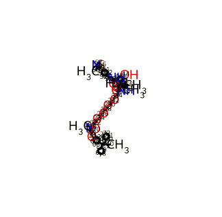 CC/C(=C(\c1ccccc1)c1ccc(OCCN(C)C(=O)CCOCCOCCOCCOCCC(=O)N[C@H](C(=O)N2C[C@H](O)C[C@H]2C(=O)NCc2ccc(-c3scnc3C)cc2)C(C)(C)C)cc1)c1ccccc1